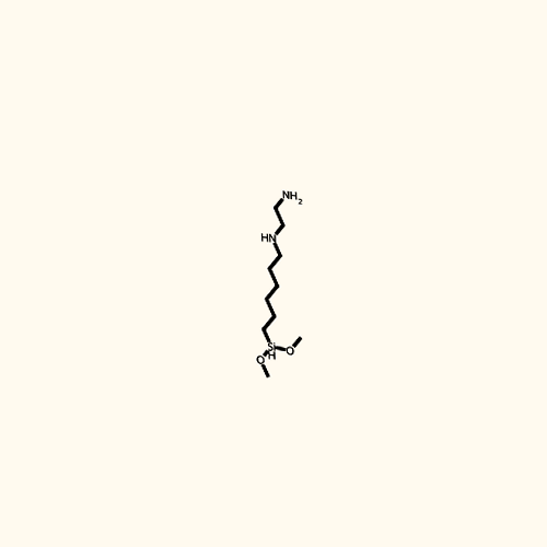 CO[SiH](CCCCCCNCCN)OC